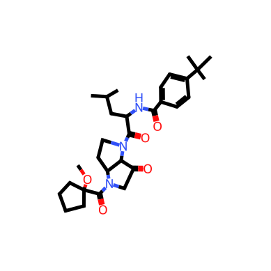 COC1(C(=O)N2CC(=O)C3C2CCN3C(=O)C(CC(C)C)NC(=O)c2ccc(C(C)(C)C)cc2)CCCC1